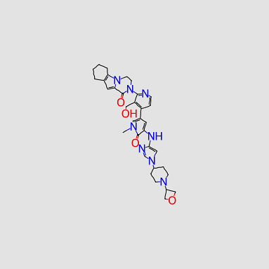 Cn1cc(-c2ccnc(N3CCn4c(cc5c4CCCC5)C3=O)c2CO)cc(Nc2cn(C3CCN(C4COC4)CC3)cn2)c1=O